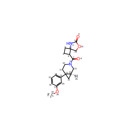 O=C1NC2(CCC2C(=O)N2CCC3(c4cccc(OC(F)(F)F)c4)C[C@@H]3C2)CO1